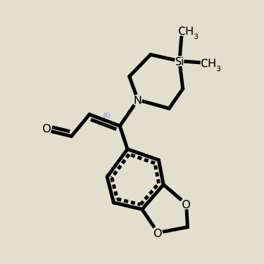 C[Si]1(C)CCN(/C(=C/C=O)c2ccc3c(c2)OCO3)CC1